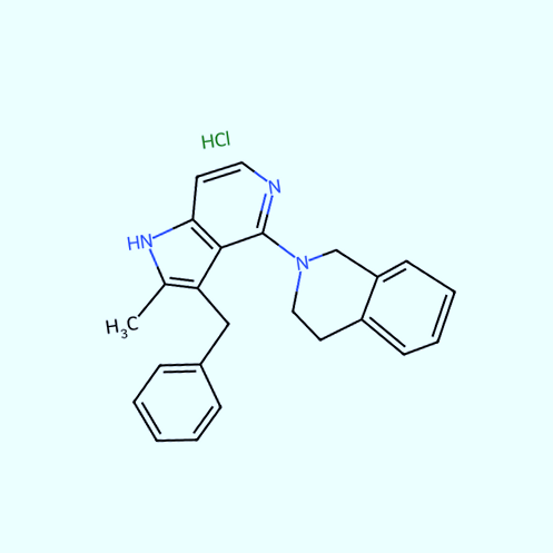 Cc1[nH]c2ccnc(N3CCc4ccccc4C3)c2c1Cc1ccccc1.Cl